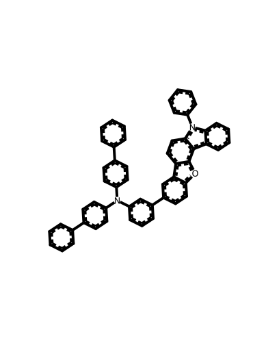 c1ccc(-c2ccc(N(c3ccc(-c4ccccc4)cc3)c3cccc(-c4ccc5oc6c(ccc7c6c6ccccc6n7-c6ccccc6)c5c4)c3)cc2)cc1